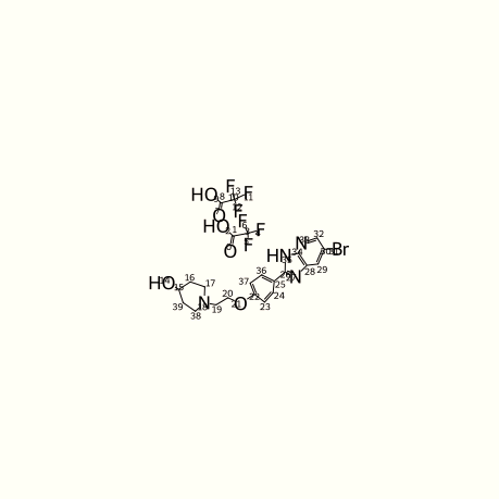 O=C(O)C(F)(F)F.O=C(O)C(F)(F)F.OC1CCN(CCOc2ccc(-c3nc4cc(Br)cnc4[nH]3)cc2)CC1